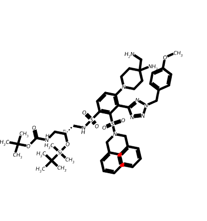 COc1ccc(Cn2nnc(-c3c(N4CCC(N)(CN)CC4)ccc(S(=O)(=O)NC[C@@H](CNC(=O)OC(C)(C)C)O[Si](C)(C)C(C)(C)C)c3S(=O)(=O)N(Cc3ccccc3)Cc3ccccc3)n2)cc1